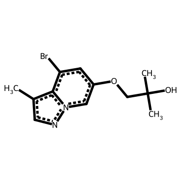 Cc1cnn2cc(OCC(C)(C)O)cc(Br)c12